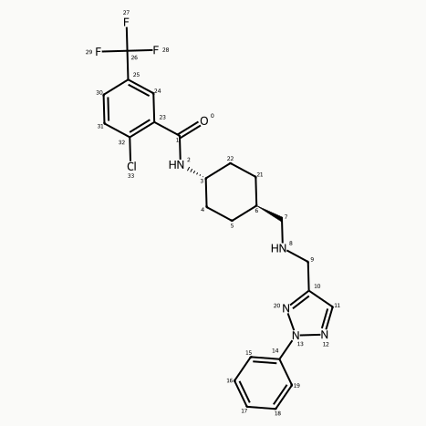 O=C(N[C@H]1CC[C@H](CNCc2cnn(-c3ccccc3)n2)CC1)c1cc(C(F)(F)F)ccc1Cl